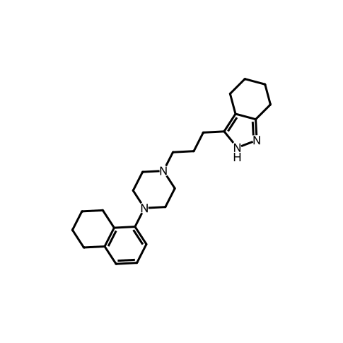 c1cc2c(c(N3CCN(CCCc4[nH]nc5c4CCCC5)CC3)c1)CCCC2